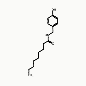 CCCCCCCCC(=O)NCc1ccc(O)cc1